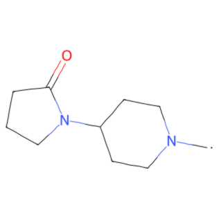 [CH2]N1CCC(N2CCCC2=O)CC1